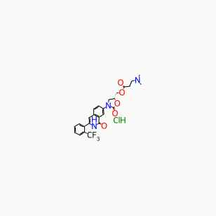 CN(C)CCC(=O)OC[C@H]1CN(c2ccc3cc(-c4ccccc4C(F)(F)F)[nH]c(=O)c3c2)C(=O)O1.Cl